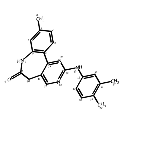 Cc1ccc2c(c1)NC(=O)Cc1cnc(Nc3ccc(C)c(C)c3)nc1-2